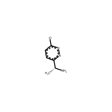 C[C@@H](N)c1ccc(Cl)nn1